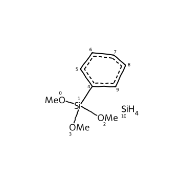 CO[Si](OC)(OC)c1ccccc1.[SiH4]